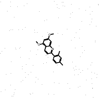 COc1cc(OC)c2ccc(-c3ccc(C)cc3C)nc2c1